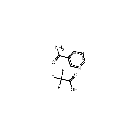 NC(=O)c1cncnc1.O=C(O)C(F)(F)F